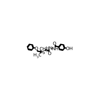 CC(C)(COc1ccccc1)SCC(=O)NNC(=O)c1ccc(O)cc1